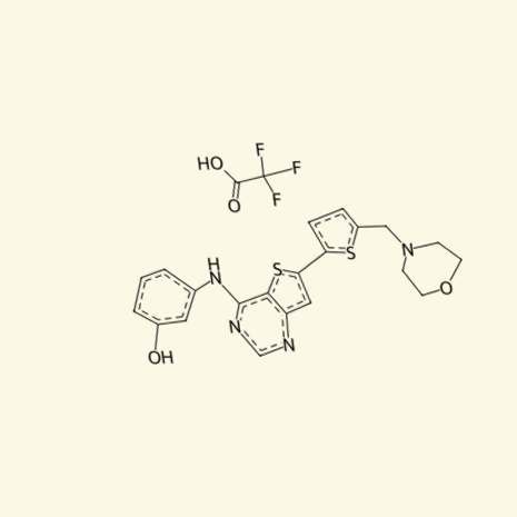 O=C(O)C(F)(F)F.Oc1cccc(Nc2ncnc3cc(-c4ccc(CN5CCOCC5)s4)sc23)c1